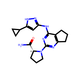 NC(=O)[C@H]1CCCN1c1nc2c(c(Nc3cc(C4CC4)[nH]n3)n1)CCC2